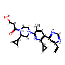 C=Cc1cc(-c2cc(C#N)c(N3CCN(C(=O)CCO)C(C4CC4)C3)nc2C2CC2)ncn1